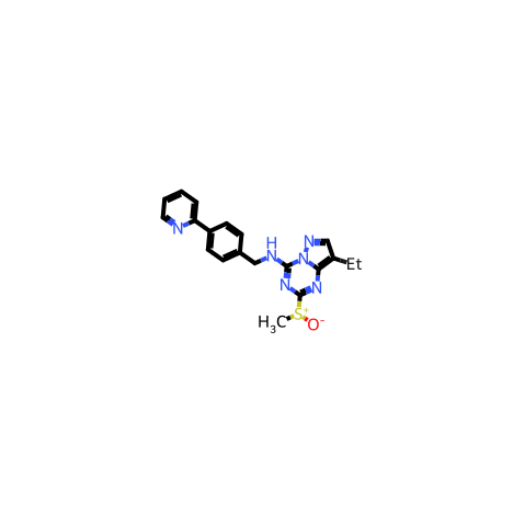 CCc1cnn2c(NCc3ccc(-c4ccccn4)cc3)nc([S+](C)[O-])nc12